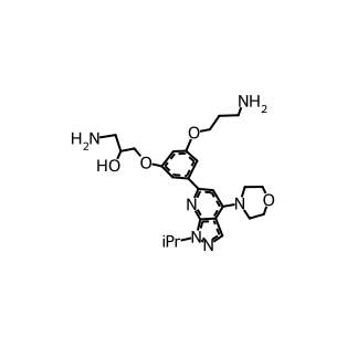 CC(C)n1ncc2c(N3CCOCC3)cc(-c3cc(OCCCN)cc(OCC(O)CN)c3)nc21